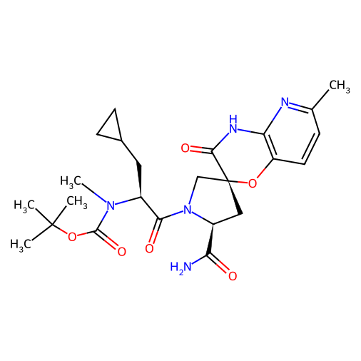 Cc1ccc2c(n1)NC(=O)[C@]1(C[C@@H](C(N)=O)N(C(=O)[C@H](CC3CC3)N(C)C(=O)OC(C)(C)C)C1)O2